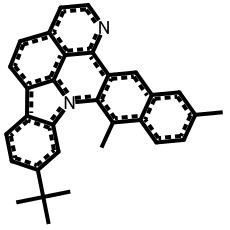 Cc1ccc2c(C)c3c(cc2c1)c1nccc2ccc4c5ccc(C(C)(C)C)cc5n3c4c21